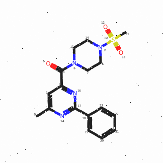 Cc1cc(C(=O)N2CCN(S(C)(=O)=O)CC2)nc(-c2ccccc2)n1